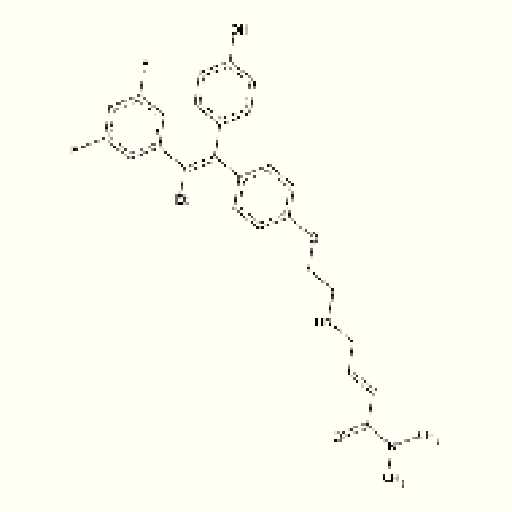 CCC(=C(c1ccc(O)cc1)c1ccc(OCCNCC=CC(=O)N(C)C)cc1)c1cc(F)cc(F)c1